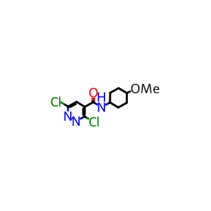 COC1CCC(NC(=O)c2cc(Cl)nnc2Cl)CC1